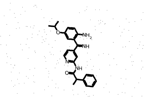 CC(C)Oc1ccc(N)c(C(=N)c2ccnc(NC(=O)C(C)c3ccccc3)c2)c1